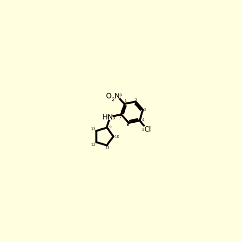 O=[N+]([O-])c1ccc(Cl)cc1NC1CCCC1